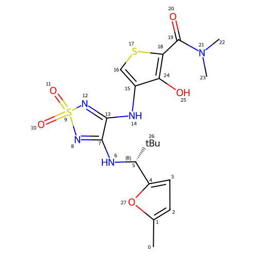 Cc1ccc([C@H](NC2=NS(=O)(=O)N=C2Nc2csc(C(=O)N(C)C)c2O)C(C)(C)C)o1